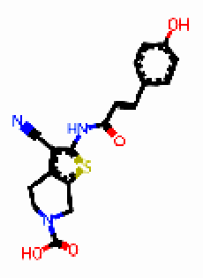 N#Cc1c(NC(=O)C=Cc2ccc(O)cc2)sc2c1CCN(C(=O)O)C2